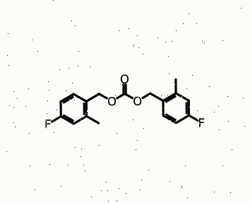 Cc1cc(F)ccc1COC(=O)OCc1ccc(F)cc1C